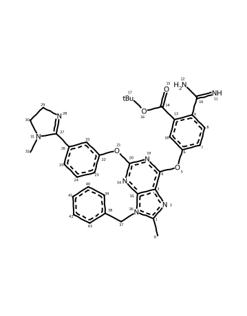 Cc1nc2c(Oc3ccc(C(=N)N)c(C(=O)OC(C)(C)C)c3)nc(Oc3cccc(C4=NCCN4C)c3)nc2n1Cc1ccccc1